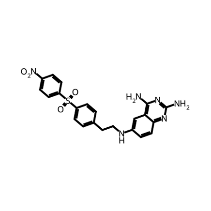 Nc1nc(N)c2cc(NCCc3ccc(S(=O)(=O)c4ccc([N+](=O)[O-])cc4)cc3)ccc2n1